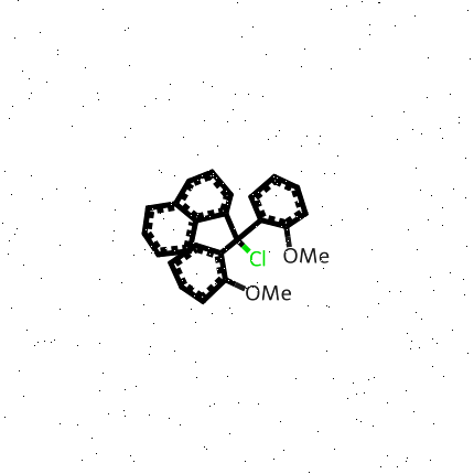 COc1ccccc1C(Cl)(c1ccccc1OC)c1cccc2ccccc12